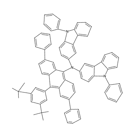 CC(C)(C)c1cc(-c2c3cc(-c4ccccc4)ccc3c(N(c3ccc4c(c3)c3ccccc3n4-c3ccccc3)c3ccc4c(c3)c3ccccc3n4-c3ccccc3)c3cc(-c4ccccc4)ccc23)cc(C(C)(C)C)c1